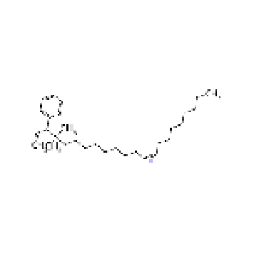 C=CC(c1ccccc1)[N+](C)(C)CCCCCCCC/C=C\CCCCCCCC